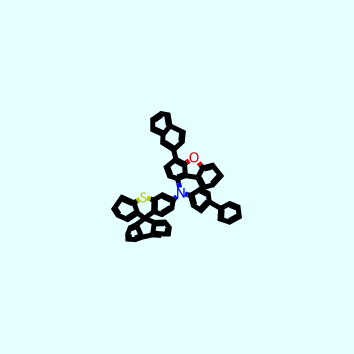 c1ccc(-c2ccc(N(c3ccc4c(c3)Sc3ccccc3C43c4ccccc4-c4ccccc43)c3ccc(-c4ccc5ccccc5c4)c4oc5ccccc5c34)cc2)cc1